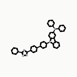 c1ccc(-c2nc(-c3ccc(-c4ccc(-n5c6ccccc6c6cc(N(c7ccccc7)c7ccccc7)ccc65)cc4)cc3)no2)cc1